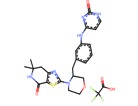 CC1(C)Cc2nc(N3CCOCC3Cc3cccc(Nc4cc[nH]c(=O)n4)c3)sc2C(=O)N1.O=C(O)C(F)(F)F